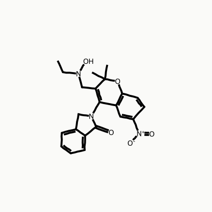 CCN(O)CC1=C(N2Cc3ccccc3C2=O)c2cc([N+](=O)[O-])ccc2OC1(C)C